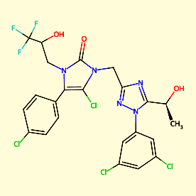 C[C@H](O)c1nc(Cn2c(Cl)c(-c3ccc(Cl)cc3)n(CC(O)C(F)(F)F)c2=O)nn1-c1cc(Cl)cc(Cl)c1